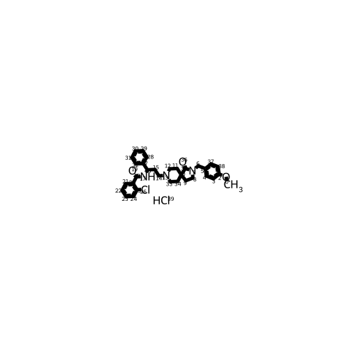 COc1ccc(CN2CCC3(CCN(CCC(NC(=O)c4ccccc4Cl)c4ccccc4)CC3)C2=O)cc1.Cl